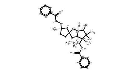 C[C@H]1[C@H]2[C@@H](O[C@]13CC[C@@](C)(COC(=O)c1ccccc1)O3)C(Br)C(C)(Br)[C@]2(C)[C@@H](C)OC(=O)c1ccccc1